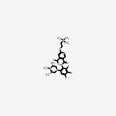 C[C@@H]1CN(c2cc(F)c(Br)c(F)c2NC(=O)c2cnc(OCCS(C)(C)C)cc2C(F)F)C[C@H](C)N1C